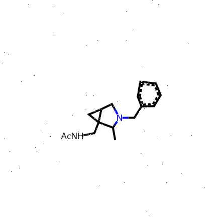 CC(=O)NCC12CC1CN(Cc1ccccc1)C2C